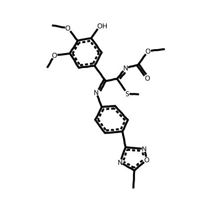 COC(=O)N=C(SC)C(=Nc1ccc(-c2noc(C)n2)cc1)c1cc(O)c(OC)c(OC)c1